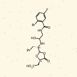 CC(C)C[C@H](NC(O)CNC(=O)c1cc(F)ccc1Br)B1OC(=O)[C@@H](CC(=O)O)O1